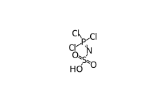 O=S(=O)(O)N=P(Cl)(Cl)Cl